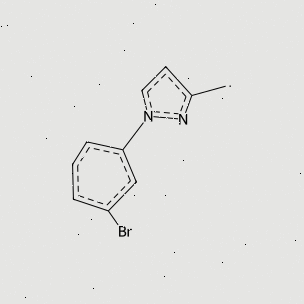 [CH2]c1ccn(-c2cccc(Br)c2)n1